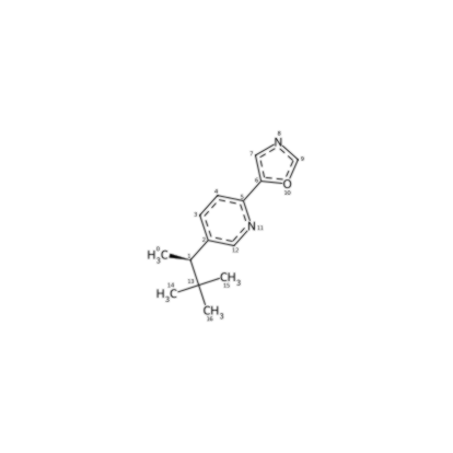 C[C@@H](c1ccc(-c2cnco2)nc1)C(C)(C)C